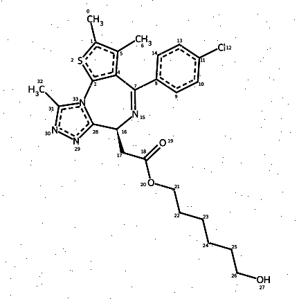 Cc1sc2c(c1C)C(c1ccc(Cl)cc1)=N[C@@H](CC(=O)OCCCCCCO)c1nnc(C)n1-2